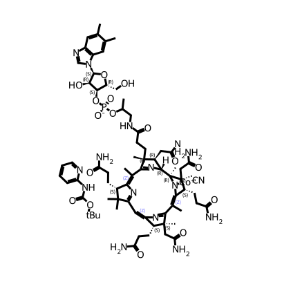 C/C1=C2N=C(/C=C3N=C(/C(C)=C4/[C@@H](CCC(N)=O)[C@](C)(CC(N)=O)[C@](C)([C@@H]5N=C1[C@](C)(CCC(=O)NCC(C)OP(=O)([O-])O[C@H]1[C@@H](O)[C@@H](n6cnc7cc(C)c(C)cc76)O[C@@H]1CO)[C@H]5CC(N)=O)[N]4[Co+][C]#N)[C@@](C)(CC(N)=O)[C@@H]\3CCC(N)=O)C(C)(C)[C@@H]/2CCC(N)=O.CC(C)(C)OC(=O)Nc1ccccn1